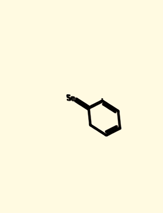 [Se]=C1[C]=CC=CC1